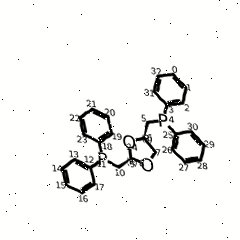 c1ccc(P(C[C@H]2CO[C@@H](CP(c3ccccc3)c3ccccc3)O2)c2ccccc2)cc1